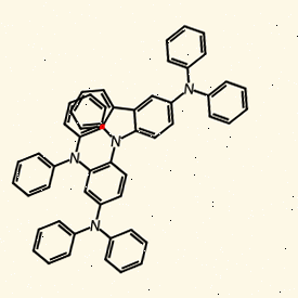 c1ccc(N(c2ccccc2)c2ccc(-n3c4ccccc4c4cc(N(c5ccccc5)c5ccccc5)ccc43)c(N(c3ccccc3)c3ccccc3)c2)cc1